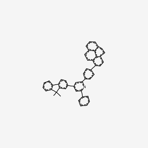 CC1(C)c2ccccc2-c2ccc(-c3cc(-c4ccccc4)nc(-c4ccc(-c5ccc6ccc7cccc8ccc5c6c78)cc4)c3)cc21